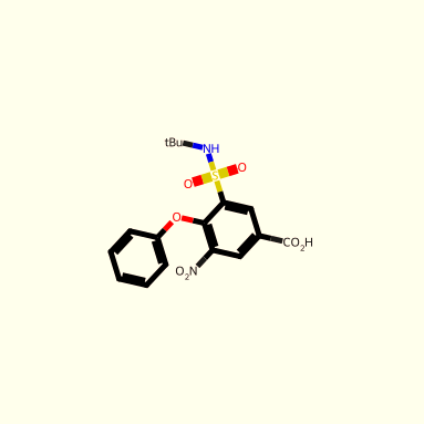 CC(C)(C)NS(=O)(=O)c1cc(C(=O)O)cc([N+](=O)[O-])c1Oc1ccccc1